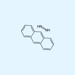 N=N.c1ccc2cc3ccccc3cc2c1